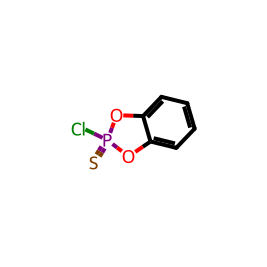 S=P1(Cl)Oc2ccccc2O1